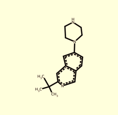 CC(C)(C)c1cc2cc(N3CCNCC3)ccc2cn1